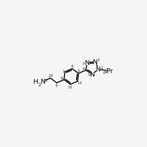 CC(C)n1nnc(-c2ccc(CCN)cc2)n1